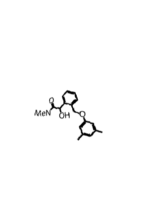 CNC(=O)C(O)c1ccccc1COc1cc(C)cc(C)c1